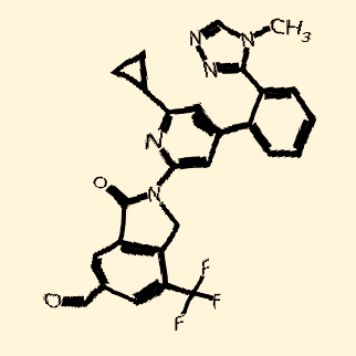 Cn1cnnc1-c1ccccc1-c1cc(C2CC2)nc(N2Cc3c(cc(C=O)cc3C(F)(F)F)C2=O)c1